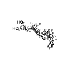 Cc1c(Nc2nc3ccccc3s2)nnc2c1CCCN2c1ccc(-c2cnn(CC34CC5(C)CC(C)(C3)CC(OCCN(CCCO)CCCO)(C5)C4)c2C)c(C(=O)O)n1